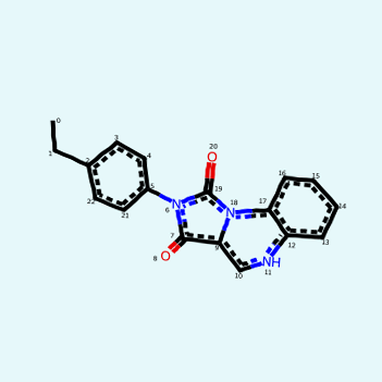 CCc1ccc(-n2c(=O)c3c[nH]c4ccccc4n-3c2=O)cc1